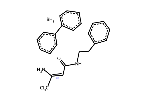 B.N/C(=C\C(=O)NCCc1ccccc1)C(Cl)(Cl)Cl.c1ccc(-c2ccccc2)cc1